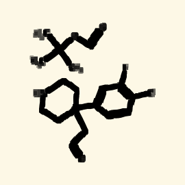 CC(C)(C)OC=O.O=CCC1(c2ccc(Cl)c(F)c2)CCNCC1